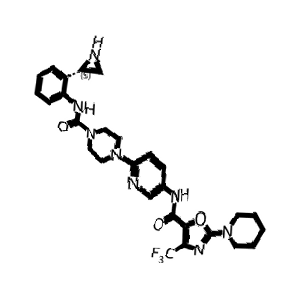 O=C(Nc1ccc(N2CCN(C(=O)Nc3ccccc3[C@H]3CN3)CC2)nc1)c1oc(N2CCCCC2)nc1C(F)(F)F